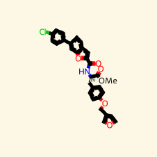 COC(=O)[C@H](Cc1ccc(OCc2ccoc2)cc1)NC(=O)c1cc2ccc(-c3ccc(Cl)cc3)cc2o1